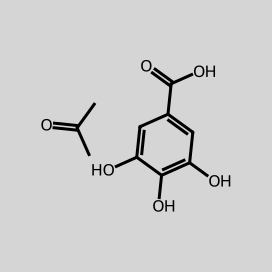 CC(C)=O.O=C(O)c1cc(O)c(O)c(O)c1